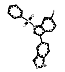 O=S(=O)(c1ccccc1)n1cc(-c2ccc3[nH]ncc3c2)c2ccc(F)cc21